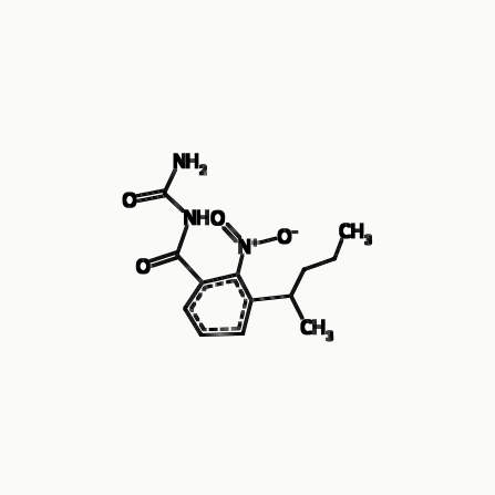 CCCC(C)c1cccc(C(=O)NC(N)=O)c1[N+](=O)[O-]